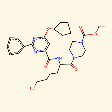 CCOC(=O)N1CCN(C(=O)C(CCCCO)NC(=O)c2cc(OC3CCCC3)nc(-c3ccccc3)n2)CC1